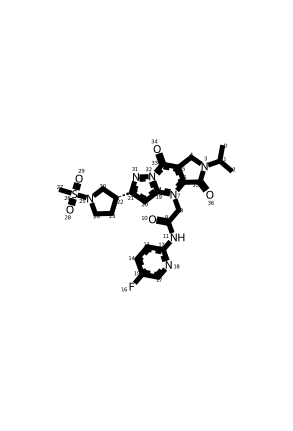 CC(C)N1Cc2c(n(CC(=O)Nc3ccc(F)cn3)c3cc([C@@H]4CCN(S(C)(=O)=O)C4)nn3c2=O)C1=O